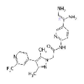 Cc1nn(CC(=O)Nc2ccc(/C(N)=C/N)cn2)c(C)c1-c1ccnc(C(F)(F)F)c1